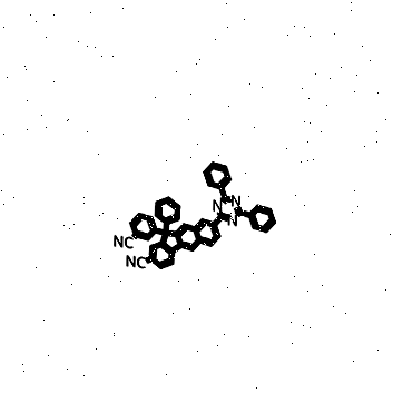 N#Cc1cccc(C2(c3ccccc3)c3cc(C#N)ccc3-c3cc4ccc(-c5nc(-c6ccccc6)nc(-c6ccccc6)n5)cc4cc32)c1